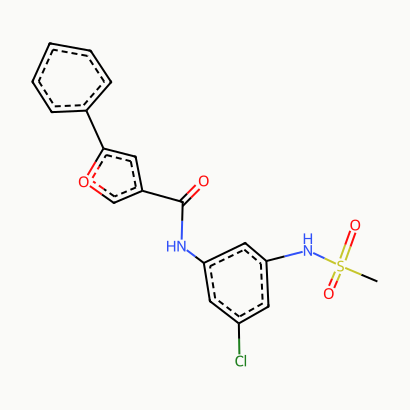 CS(=O)(=O)Nc1cc(Cl)cc(NC(=O)c2coc(-c3ccccc3)c2)c1